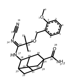 COc1ccccc1COC(C)(C)/C(=N\C#N)NC1C2CC3CC1CC(C(N)=O)(C3)C2